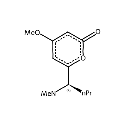 CCC[C@@H](NC)c1cc(OC)cc(=O)o1